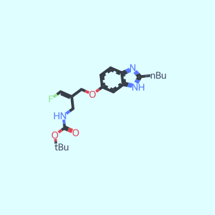 CCCCc1nc2ccc(OC/C(=C/F)CNC(=O)OC(C)(C)C)cc2[nH]1